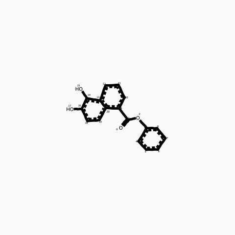 O=C(Oc1ccccc1)c1cccc2c(O)c(O)ccc12